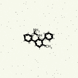 Cc1ccc(-c2ccccc2)c(NC(N)=O)c1-c1ccccc1